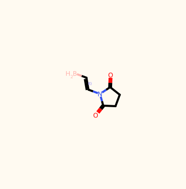 B/C=C/N1C(=O)CCC1=O